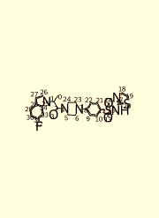 CC(C(=O)N1CCN(c2ccc(S(=O)(=O)Nc3nccs3)cc2)CC1)n1ccc2ccc(F)cc21